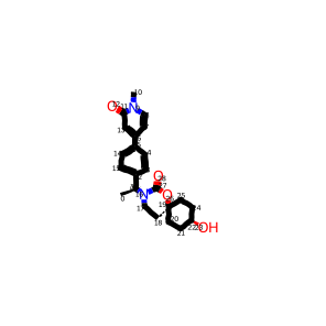 C[C@@H](c1ccc(-c2ccn(C)c(=O)c2)cc1)N1CC[C@]2(CC[C@H](O)CC2)OC1=O